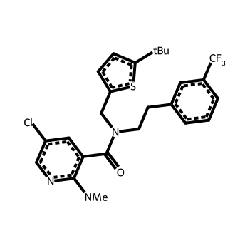 CNc1ncc(Cl)cc1C(=O)N(CCc1cccc(C(F)(F)F)c1)Cc1ccc(C(C)(C)C)s1